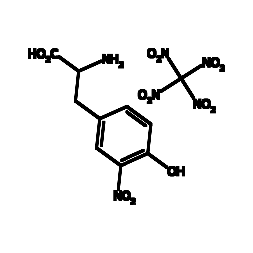 NC(Cc1ccc(O)c([N+](=O)[O-])c1)C(=O)O.O=[N+]([O-])C([N+](=O)[O-])([N+](=O)[O-])[N+](=O)[O-]